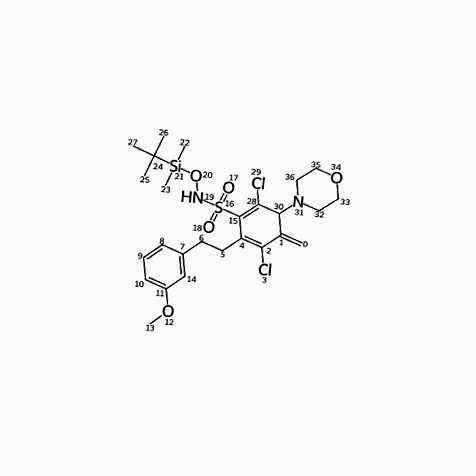 C=C1C(Cl)=C(CCc2cccc(OC)c2)C(S(=O)(=O)NO[Si](C)(C)C(C)(C)C)=C(Cl)C1N1CCOCC1